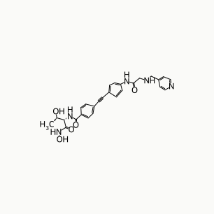 C[C@@H](O)[C@H](NC(=O)c1ccc(C#Cc2ccc(NC(=O)CNCc3ccncc3)cc2)cc1)C(=O)NO